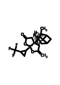 C=C1C[N+]2([C@H]3CC4CC([C@@H]3C)C4(C)C)CC(=O)O[B-]2(C2CC2C(F)(F)F)O1